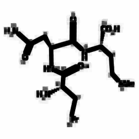 CSCC[C@H](NC(=O)[C@H](CC(N)=O)NC(=O)[C@@H](N)CC(C)C)C(=O)O